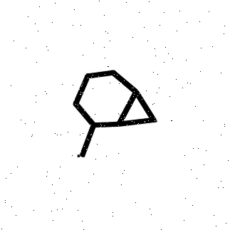 [CH2]C1CCCC2CC12